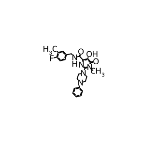 Cc1cc(CNC(=O)c2nc(N3CCN(c4ccccc4)CC3)n(C)c(=O)c2O)ccc1F